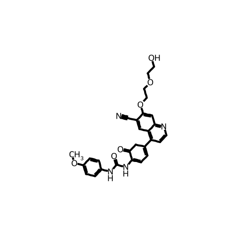 COc1ccc(NC(=O)NC2=CC=C(c3ccnc4cc(OCCOCCO)c(C#N)cc34)CC2=O)cc1